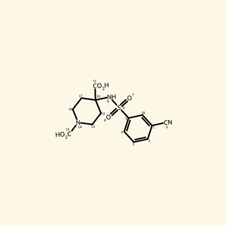 N#Cc1cccc(S(=O)(=O)NC2(C(=O)O)CCN(C(=O)O)CC2)c1